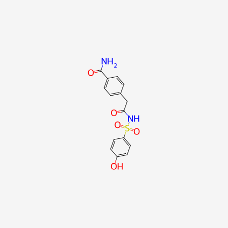 NC(=O)c1ccc(CC(=O)NS(=O)(=O)c2ccc(O)cc2)cc1